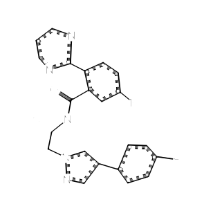 C[C@@H](Cn1cc(-c2ccc(F)cc2)cn1)NC(=O)c1cc(F)ccc1-c1ncccn1